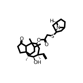 C=C[C@]1(C)C[C@@H](OC(=O)CSC2CC3CC[C@H](C2)N3C)C2(C)C(C)CCC3(CCC(=O)C32)[C@@H](C)[C@@H]1O